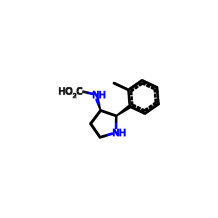 Cc1ccccc1[C@H]1NCC[C@H]1NC(=O)O